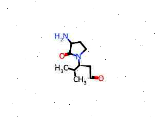 CC(C)[C@H](C[C]=O)N1CCC(N)C1=O